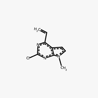 C=Cc1nc(Cl)nc2c1ccn2C